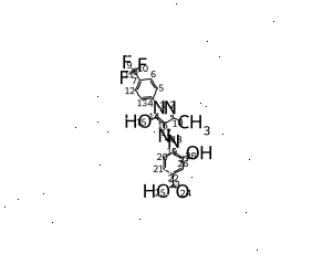 Cc1nn(-c2ccc(C(F)(F)F)cc2)c(O)c1/N=N/c1ccc(C(=O)O)cc1O